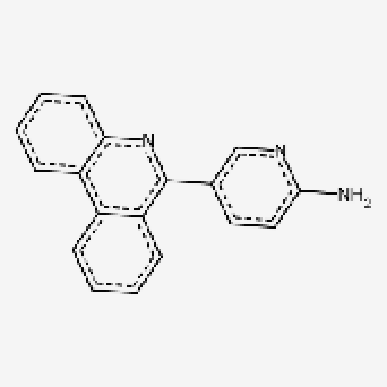 Nc1ccc(-c2nc3ccccc3c3ccccc23)cn1